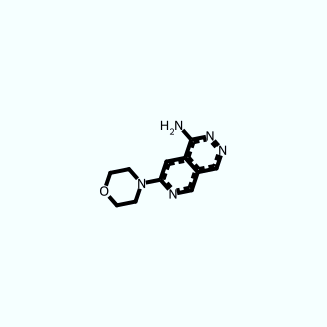 Nc1nncc2cnc(N3CCOCC3)cc12